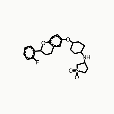 O=S1(=O)CCC(NC2CCC(Oc3ccc4c(c3)CCC(c3ccccc3F)O4)CC2)C1